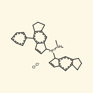 C[SiH](C)[Hf+2]([CH]1C=Cc2cc3c(cc21)CCC3)[CH]1C=Cc2c1cc1c(c2-c2ccccc2)CCC1.[Cl-].[Cl-]